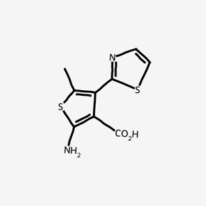 Cc1sc(N)c(C(=O)O)c1-c1nccs1